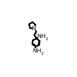 NC1=CCC(N)(CCN2CCCC2)C=C1